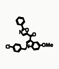 COc1ccc2c(c1)c(C(=O)c1cnc(-c3ccccc3)o1)cn2Cc1ccc(Cl)cc1